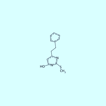 CSc1nc(O)cc(CCc2ccccc2)n1